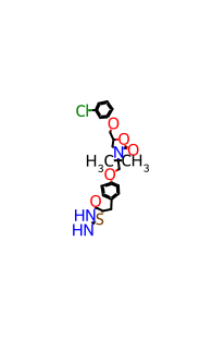 CC(C)(COc1ccc(CC2SC(=N)NC2=O)cc1)N1CC(COc2cccc(Cl)c2)OC1=O